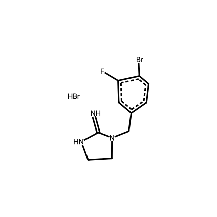 Br.N=C1NCCN1Cc1ccc(Br)c(F)c1